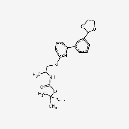 CC(COc1cccc(-c2cccc(C3OCCO3)c2)n1)NC(=O)OC(C)(C)C